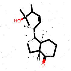 CC(/C=C\[C@@H](C)[C@H]1CC[C@H]2C(=O)CCC[C@]12C)C(C)(C)O